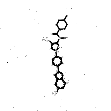 CC1CCC(C(=O)N(c2nn(-c3ccc(-c4cc5cc(N)ccc5o4)cc3)cc2C(=O)O)C(C)C)CC1